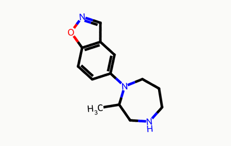 CC1CNCCCN1c1ccc2oncc2c1